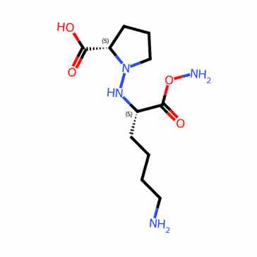 NCCCC[C@H](NN1CCC[C@H]1C(=O)O)C(=O)ON